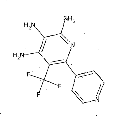 Nc1nc(-c2ccncc2)c(C(F)(F)F)c(N)c1N